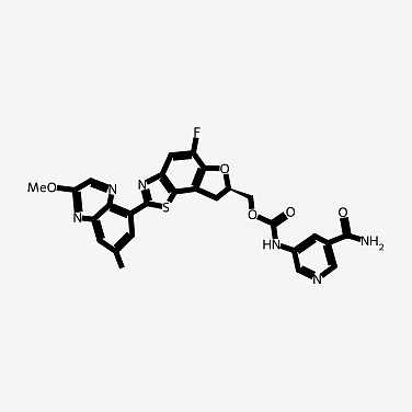 COc1cnc2c(-c3nc4cc(F)c5c(c4s3)C[C@H](COC(=O)Nc3cncc(C(N)=O)c3)O5)cc(C)cc2n1